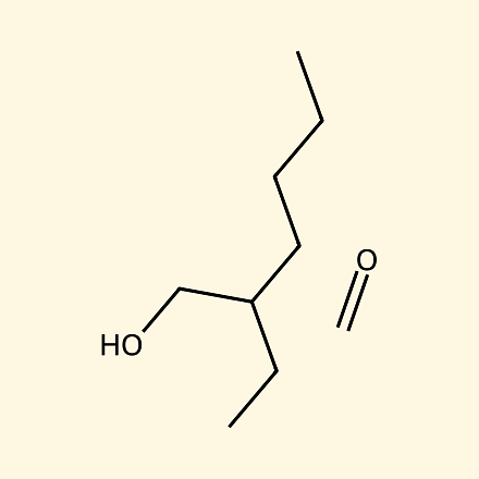 C=O.CCCCC(CC)CO